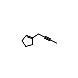 CC#CCC1=[C]CCC1